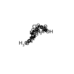 COc1ccc(-n2cc(-c3cnc(C(=O)Nc4ccc(C(=O)N5CCN(C(=O)[C@@H]6C[C@@H](O)C[N+]6(C)C)CC5)c(Cl)c4)[nH]3)c(C(F)(F)F)n2)nc1